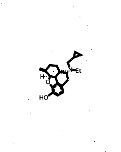 C=C1CC[C@]2(O)C3c4c(ccc(O)c4O[C@@H]13)C[C@H]2N(CC)CC1CC1